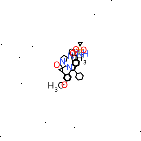 COc1ccc2c(c1)C1CC1(C(=O)N1CC[C@H](N(C)C)C1)Cn1c-2c(C2CCCCC2)c2ccc(C(=O)NS(=O)(=O)C3CC3)cc21